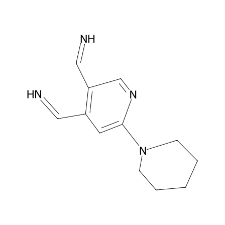 N=Cc1cnc(N2CCCCC2)cc1C=N